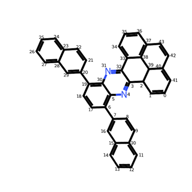 C1=CC2c3nc4c(-c5ccc6ccccc6c5)ccc(-c5ccc6ccccc6c5)c4nc3-c3cccc4c3C2C(=C1)C=C4